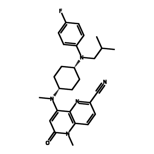 CC(C)CN(c1ccc(F)cc1)[C@H]1CC[C@@H](N(C)c2cc(=O)n(C)c3ccc(C#N)nc23)CC1